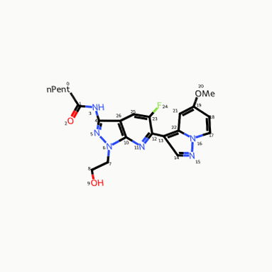 CCCCCC(=O)Nc1nn(CCO)c2nc(-c3cnn4ccc(OC)cc34)c(F)cc12